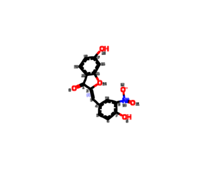 O=C1/C(=C/c2ccc(O)c([N+](=O)[O-])c2)Oc2cc(O)ccc21